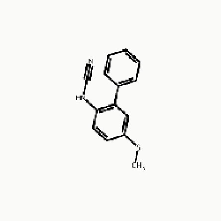 CSc1ccc(NC#N)c(-c2ccccc2)c1